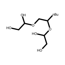 [CH2]CCCC(COC(O)CO)OC(O)CO